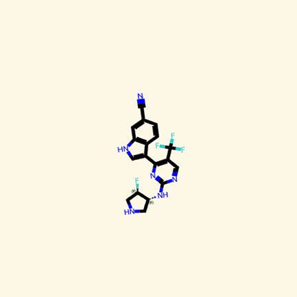 N#Cc1ccc2c(-c3nc(N[C@@H]4CNC[C@H]4F)ncc3C(F)(F)F)c[nH]c2c1